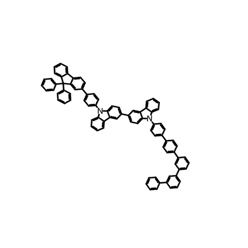 c1ccc(-c2cccc(-c3cccc(-c4ccc(-c5ccc(-n6c7ccccc7c7cc(-c8ccc9c(c8)c8ccccc8n9-c8ccc(-c9ccc%10c(c9)C(c9ccccc9)(c9ccccc9)c9ccccc9-%10)cc8)ccc76)cc5)cc4)c3)c2)cc1